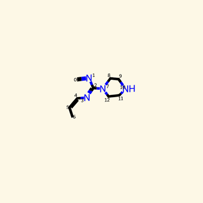 C=N/C(=N\C=C/C)N1CCNCC1